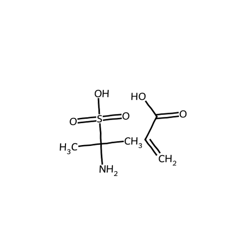 C=CC(=O)O.CC(C)(N)S(=O)(=O)O